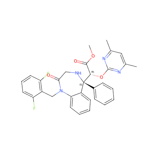 COC(=O)[C@H](Oc1nc(C)cc(C)n1)[C@@]1(c2ccccc2)NCC(=O)N(Cc2c(F)cccc2F)c2ccccc21